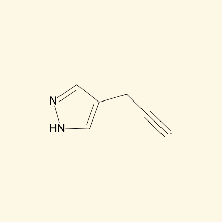 [C]#CCc1cn[nH]c1